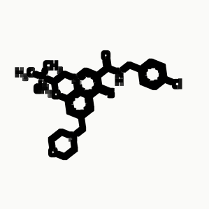 C[PH](C)(C)C1Cn2cc(C(=O)NCc3ccc(Cl)cc3)c(=S)c3cc(CN4CCOCC4)cc(c32)O1